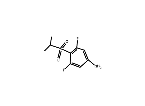 CC(C)S(=O)(=O)c1c(F)cc(N)cc1F